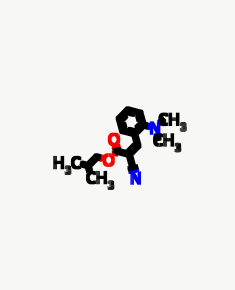 CC(C)COC(=O)C(C#N)=Cc1ccccc1N(C)C